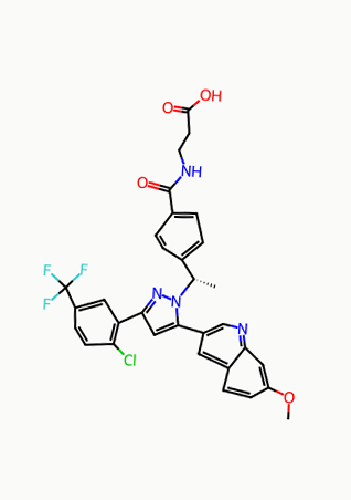 COc1ccc2cc(-c3cc(-c4cc(C(F)(F)F)ccc4Cl)nn3[C@@H](C)c3ccc(C(=O)NCCC(=O)O)cc3)cnc2c1